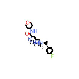 C=N/C(=C\C(=N/C)C(=O)NC1CCOCC1)CN[C@@H]1C[C@H]1c1ccc(F)cc1